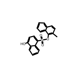 Cc1ccc2ccccc2c1OS(=O)(=O)c1ccc(O)c2ccccc12